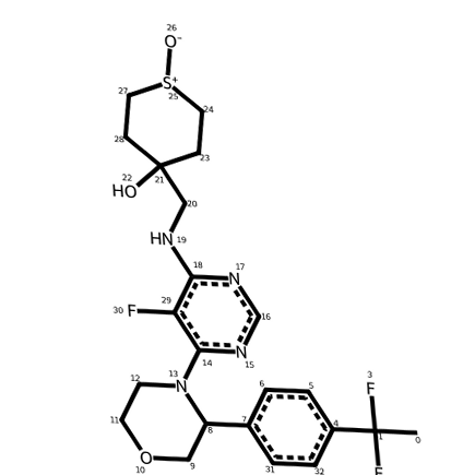 CC(F)(F)c1ccc(C2COCCN2c2ncnc(NCC3(O)CC[S+]([O-])CC3)c2F)cc1